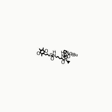 CC1=C(C)C(=O)C(CCCOC(=O)NCCCC(NC(=O)[C@@H]2CCCN2C(=O)OC(C)(C)C)C(=O)NC2CC2)=C(C)C1=O